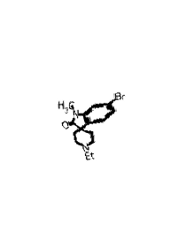 CCN1CCC2(CC1)C(=O)N(C)c1cc(Br)ccc12